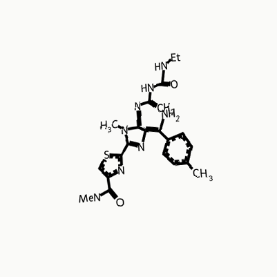 C=C(/N=C1\C(=C(/N)c2ccc(C)cc2)N=C(c2nc(C(=O)NC)cs2)N1C)NC(=O)NCC